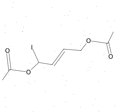 CC(=O)OCC=CC(I)OC(C)=O